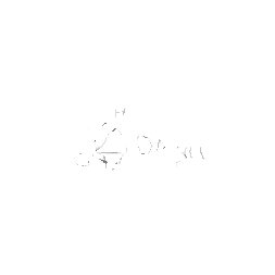 CC(=O)NC1CCN(c2ccc(-c3cc(C(=O)O)nc4c3c(C)nn4-c3ccccc3)cc2)C1